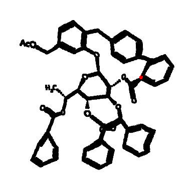 CC(=O)OCc1ccc(Cc2ccc(OC(F)F)cc2)c(O[C@@H]2O[C@H]([C@@H](C)OC(=O)c3ccccc3)[C@@H](OC(=O)c3ccccc3)[C@H](OC(=O)c3ccccc3)[C@H]2OC(=O)c2ccccc2)c1